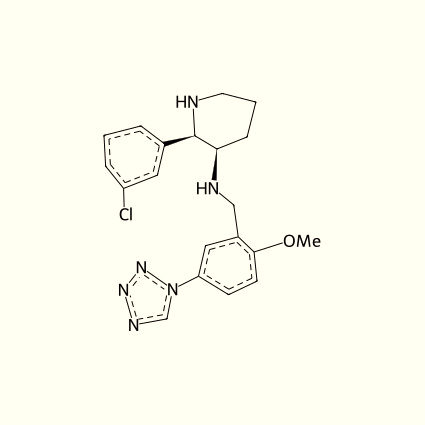 COc1ccc(-n2cnnn2)cc1CN[C@@H]1CCCN[C@@H]1c1cccc(Cl)c1